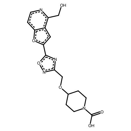 O=C(O)N1CCC(OCc2noc(-c3cc4c(CO)nccc4o3)n2)CC1